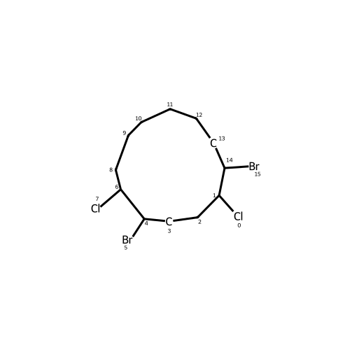 ClC1CCC(Br)C(Cl)CCCCCCC1Br